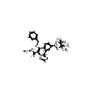 COC(=O)c1c(OCc2ccccc2)c2ccc(B3OC(C)(C)C(C)(C)O3)cc2c2ncnn12